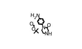 CC(C)(C)OC=O.Nc1ccc(N2CCNCC2=O)cc1